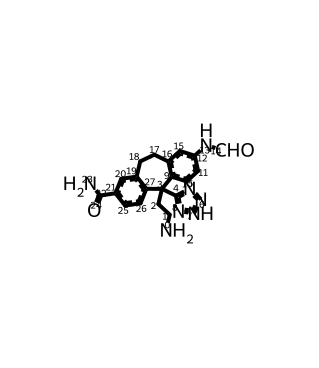 NCCC1(c2nn[nH]n2)c2ccc(NC=O)cc2CCc2cc(C(N)=O)ccc21